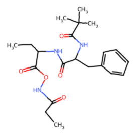 CCC(=O)NOC(=O)C(CC)NC(=O)C(Cc1ccccc1)NC(=O)C(C)(C)C